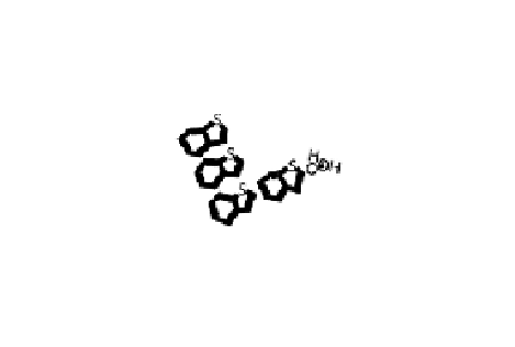 OO.c1ccc2sccc2c1.c1ccc2sccc2c1.c1ccc2sccc2c1.c1ccc2sccc2c1